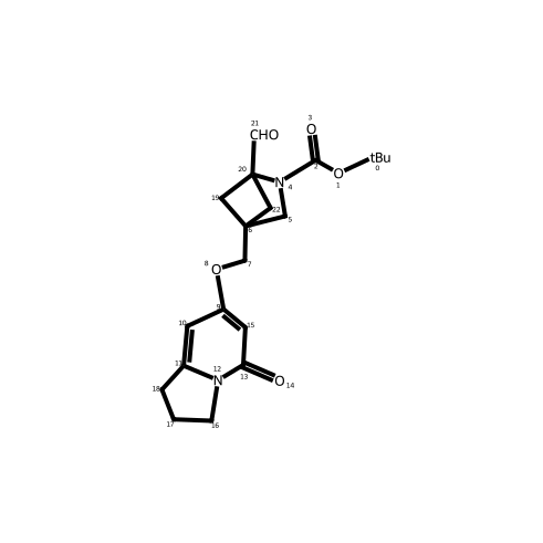 CC(C)(C)OC(=O)N1CC2(COc3cc4n(c(=O)c3)CCC4)CC1(C=O)C2